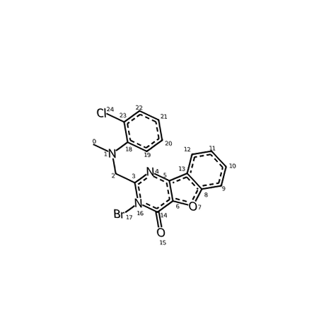 CN(Cc1nc2c(oc3ccccc32)c(=O)n1Br)c1ccccc1Cl